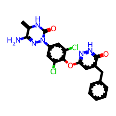 C=C1NC(=O)N(c2cc(Cl)c(Oc3cc(Cc4ccccc4)c(=O)[nH]n3)c(Cl)c2)N=C1N